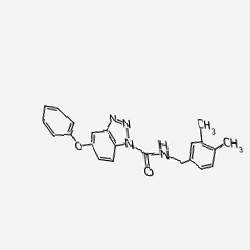 Cc1ccc(CNC(=O)n2nnc3cc(Oc4ccccc4)ccc32)cc1C